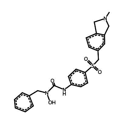 CN1Cc2ccc(CS(=O)(=O)c3ccc(NC(=O)N(O)Cc4ccccc4)cc3)cc2C1